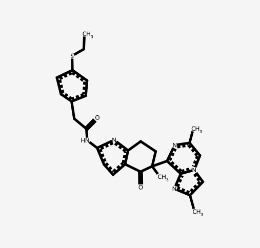 CCSc1ccc(CC(=O)Nc2ccc3c(n2)CCC(C)(c2nc(C)cn4cc(C)nc24)C3=O)cc1